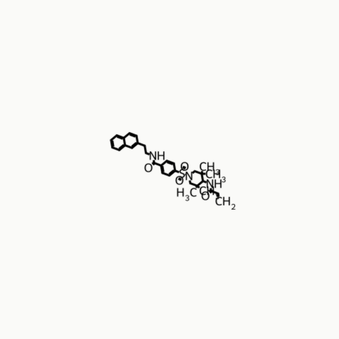 C=CC(=O)NC1C(C)(C)CN(S(=O)(=O)c2ccc(C(=O)NCCc3ccc4ccccc4c3)cc2)CC1(C)C